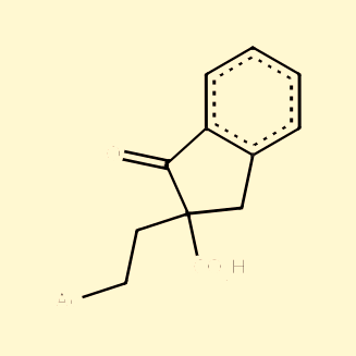 CC(=O)CCC1(C(=O)O)Cc2ccccc2C1=O